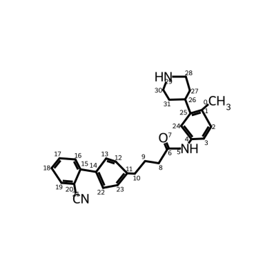 Cc1ccc(NC(=O)CCCc2ccc(-c3ccccc3C#N)cc2)cc1C1CCNCC1